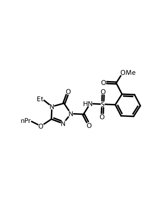 CCCOc1nn(C(=O)NS(=O)(=O)c2ccccc2C(=O)OC)c(=O)n1CC